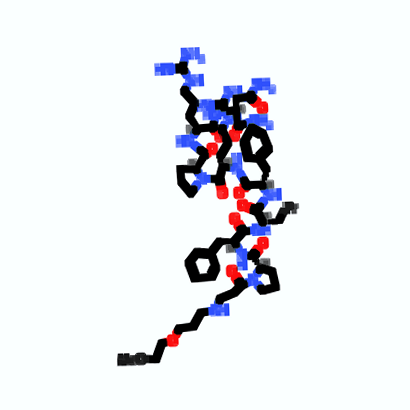 COCCOCCCNCCC(=O)N1CCC[C@H]1C(=O)N[C@@H](Cc1ccccc1)C(=O)N[C@@H](CC(C)C)C(=O)N[C@@H](Cc1ccccc1)C(=O)N[C@@H](CCCNC(=N)N)C(=O)N1CCC[C@H]1C(=O)N[C@@H](CCCNC(=N)N)C(=O)N[C@@H](CC(N)=O)C(N)=O